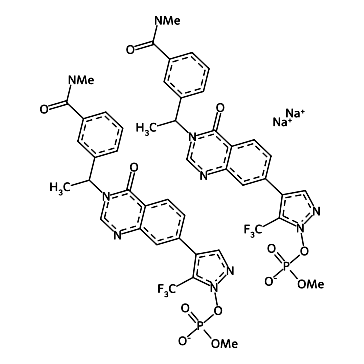 CNC(=O)c1cccc(C(C)n2cnc3cc(-c4cnn(OP(=O)([O-])OC)c4C(F)(F)F)ccc3c2=O)c1.CNC(=O)c1cccc(C(C)n2cnc3cc(-c4cnn(OP(=O)([O-])OC)c4C(F)(F)F)ccc3c2=O)c1.[Na+].[Na+]